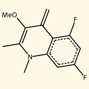 C=C1C(OC)=C(C)N(C)c2cc(F)cc(F)c21